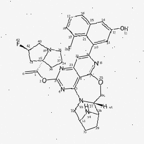 C=C(Oc1nc2c3c(nc(-c4cc(O)cc5cccc(F)c45)cc3n1)OC[C@@H]1C3CCC(CN21)N3)[C@@]12CCCN1C[C@H](F)C2